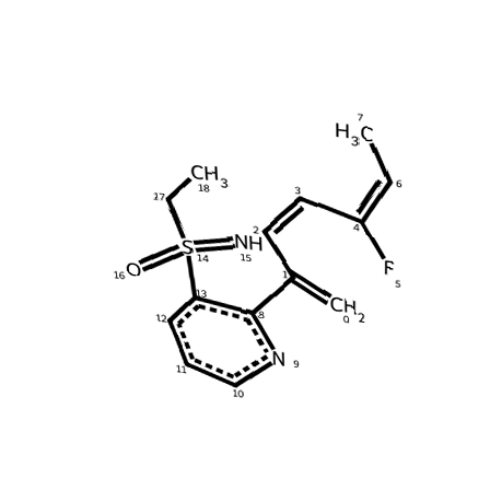 C=C(/C=C\C(F)=C/C)c1ncccc1S(=N)(=O)CC